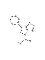 NC(=O)n1nc(-c2ccccc2)c2s[c]nc21